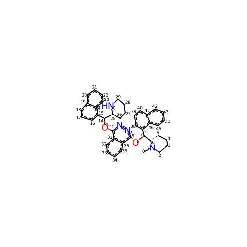 CN1CCCC[C@H]1[C@@H](Oc1nnc(OC(c2cccc3ccccc23)C2CCCCN2)c2ccccc12)c1cccc2ccccc12